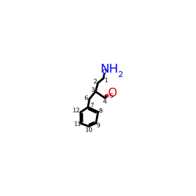 NCCC(C=O)Cc1ccccc1